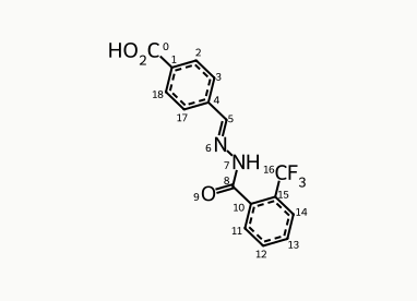 O=C(O)c1ccc(C=NNC(=O)c2ccccc2C(F)(F)F)cc1